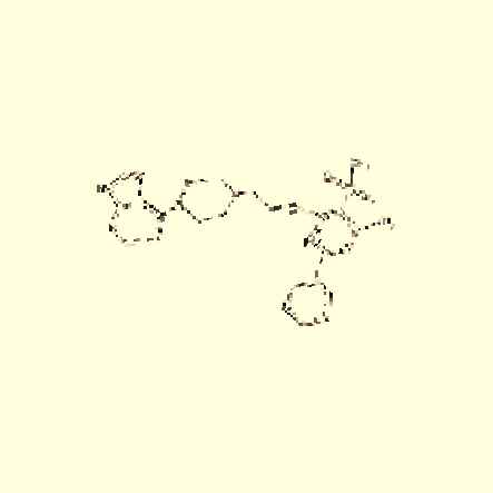 Cc1cc(-c2ccccc2)nc(OCCN2CCN(c3cccc4[nH]ccc34)CC2)c1S(C)(=O)=O